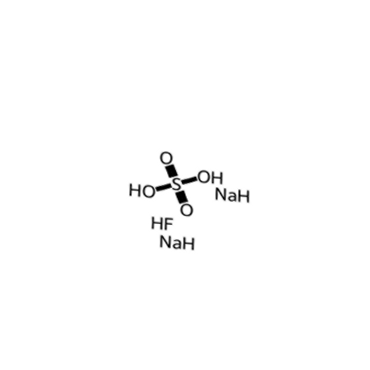 F.O=S(=O)(O)O.[NaH].[NaH]